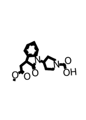 COC(=O)CC1C(=O)N(C2CCN(C(=O)O)CC2)c2ccccc21